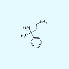 CC(N)(CCN)c1ccccc1